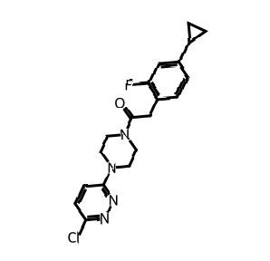 O=C(Cc1ccc(C2CC2)cc1F)N1CCN(c2ccc(Cl)nn2)CC1